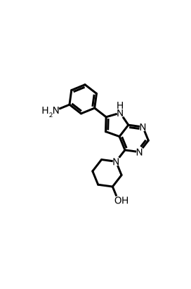 Nc1cccc(-c2cc3c(N4CCCC(O)C4)ncnc3[nH]2)c1